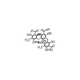 CCCC(=O)c1c(O)c(Cc2c(O)c(C(=O)CC)c(O)c(C)c2OC)c(O)c(Cc2c(O)c(C(=O)CC)c(O)c(C)c2OC)c1O